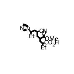 CCC(CC(CC(C#N)CC(CC)n1ccnc1)C(=O)OC)C(=O)O